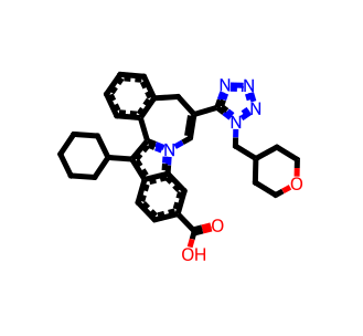 O=C(O)c1ccc2c(C3CCCCC3)c3n(c2c1)C=C(c1nnnn1CC1CCOCC1)Cc1ccccc1-3